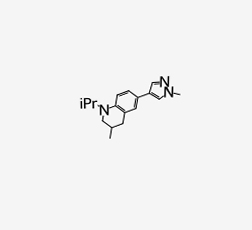 CC1Cc2cc(-c3cnn(C)c3)ccc2N(C(C)C)C1